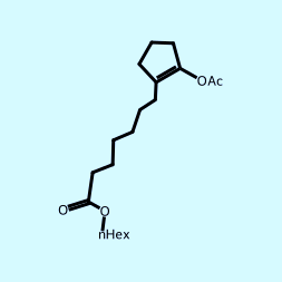 CCCCCCOC(=O)CCCCCCC1=C(OC(C)=O)CCC1